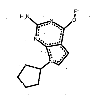 CCOc1nc(N)nc2c1c[c]n2C1CCCC1